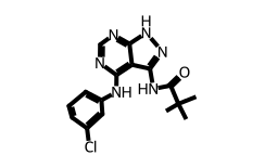 CC(C)(C)C(=O)Nc1n[nH]c2ncnc(Nc3cccc(Cl)c3)c12